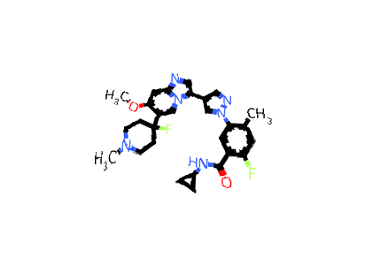 COc1cc2ncc(-c3cnn(-c4cc(C(=O)NC5CC5)c(F)cc4C)c3)n2cc1C1(F)CCN(C)CC1